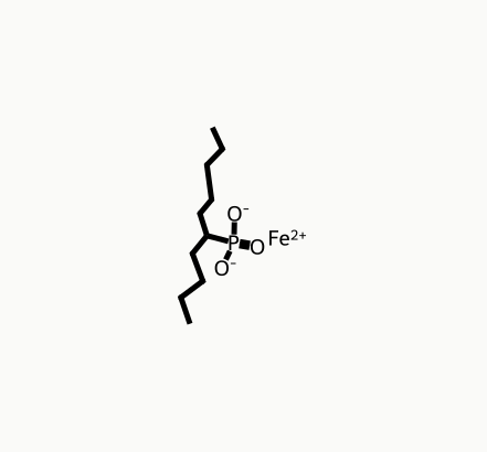 CCCCCC(CCCC)P(=O)([O-])[O-].[Fe+2]